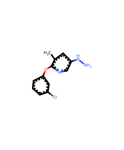 Cc1cc(NN)cnc1Oc1cccc(Cl)c1